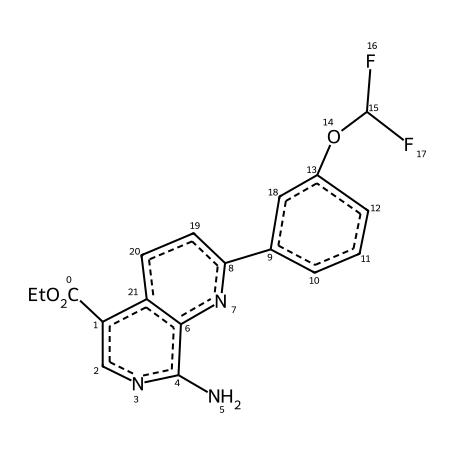 CCOC(=O)c1cnc(N)c2nc(-c3cccc(OC(F)F)c3)ccc12